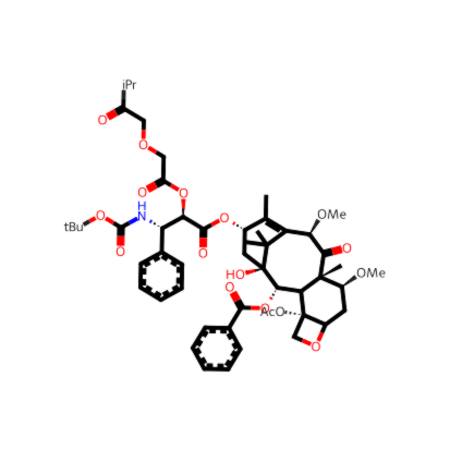 CO[C@H]1C(=O)[C@@]2(C)C([C@H](OC(=O)c3ccccc3)[C@]3(O)C[C@H](OC(=O)[C@H](OC(=O)COCC(=O)C(C)C)[C@@H](NC(=O)OC(C)(C)C)c4ccccc4)C(C)=C1C3(C)C)[C@]1(OC(C)=O)COC1C[C@@H]2OC